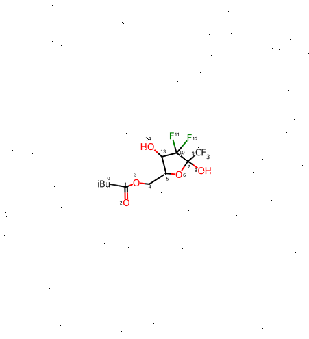 CCC(C)C(=O)OCC1OC(O)(C(F)(F)F)C(F)(F)C1O